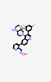 ON=Cc1ncccc1-c1ccc2ncc(-c3cc(F)cc(F)c3)c(N3CCC4NCCO[C@@H]4C3)c2c1